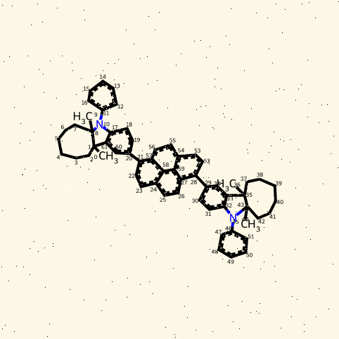 CC12CCCCCCC1(C)N(c1ccccc1)c1ccc(-c3ccc4ccc5c(-c6ccc7c(c6)C6(C)CCCCCCC6(C)N7c6ccccc6)ccc6ccc3c4c65)cc12